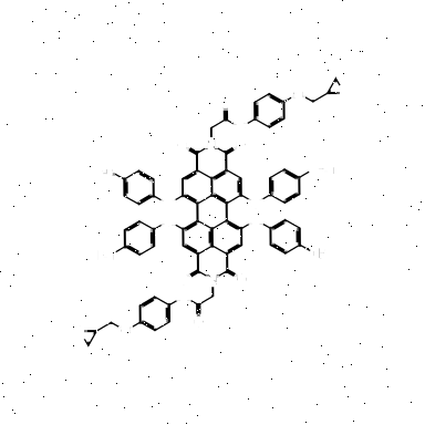 CC(C)(C)c1ccc(Oc2cc3c4c(cc(Oc5ccc(C(C)(C)C)cc5)c5c6c(Oc7ccc(C(C)(C)C)cc7)cc7c8c(cc(Oc9ccc(C(C)(C)C)cc9)c(c2c45)c86)C(=O)N(CC(=O)Oc2ccc(OCC4CO4)cc2)C7=O)C(=O)N(CC(=O)Oc2ccc(OCC4CO4)cc2)C3=O)cc1